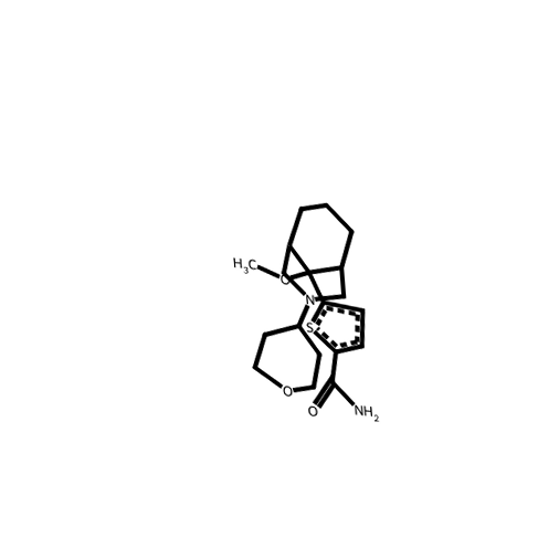 COC1(c2ccc(C(N)=O)s2)C2CCCC1CN(C1CCOCC1)C2